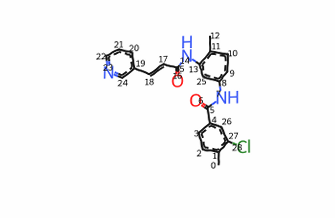 Cc1ccc(C(=O)Nc2ccc(C)c(NC(=O)C=Cc3cccnc3)c2)cc1Cl